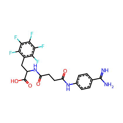 N=C(N)c1ccc(NC(=O)CCC(=O)NC(Cc2c(F)c(F)c(F)c(F)c2F)C(=O)O)cc1